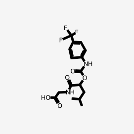 CC(C)CC(OC(=O)Nc1ccc(C(F)(F)F)cc1)C(=O)NCC(=O)O